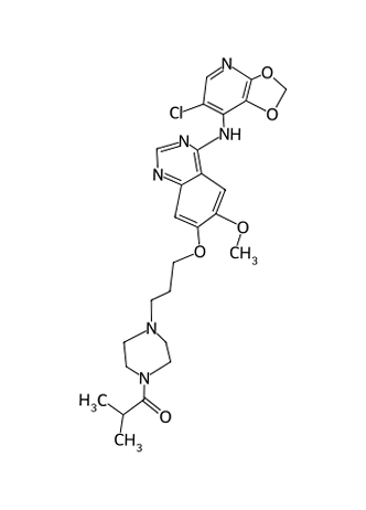 COc1cc2c(Nc3c(Cl)cnc4c3OCO4)ncnc2cc1OCCCN1CCN(C(=O)C(C)C)CC1